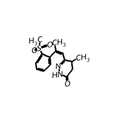 CC(=CC1=NNC(=O)CC1C)c1ccccc1S(C)(=O)=O